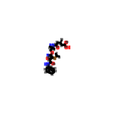 CC(C)Sc1c(OCC(C)(C)NC(=O)C[C@@H](C)CC(=O)O)noc1C(=O)NC1C2CC3CC(C2)CC1C3